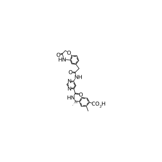 Cc1cc([C@H](C)NC(=O)c2cc(NC(=O)Cc3ccc4c(c3)NC(=O)CO4)ncn2)ccc1C(=O)O